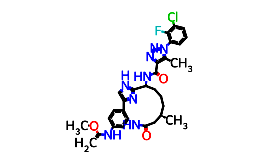 C=C(Nc1ccc2c(c1)NC(=O)C[C@H](C)CCC[C@H](NC(=O)c1nnn(-c3cccc(Cl)c3F)c1C)c1nc-2c[nH]1)OC